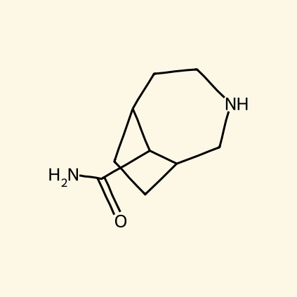 NC(=O)C1C2CCNCC1CC2